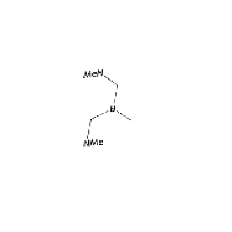 CNCB(C)CNC